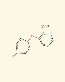 O=C(O)c1ncccc1Oc1ccc(Cl)cc1